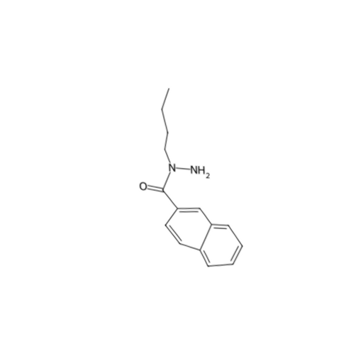 CCCCN(N)C(=O)c1ccc2ccccc2c1